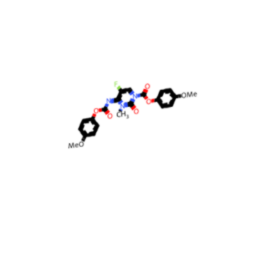 COc1ccc(OC(=O)/N=c2/c(F)cn(C(=O)Oc3ccc(OC)cc3)c(=O)n2C)cc1